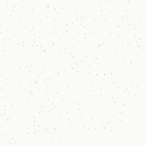 CC#CCC(C)C(O)/C=C/C1CCC2Oc3c(CCCC(=O)OCOC(=O)CO[N+](=O)[O-])cccc3C12